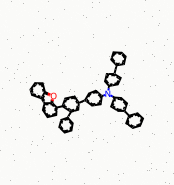 c1ccc(-c2ccc(N(c3ccc(-c4ccccc4)cc3)c3ccc(-c4ccc(-c5cccc6c5oc5ccccc56)c(-c5ccccc5)c4)cc3)cc2)cc1